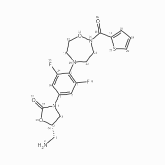 NC[C@H]1CN(c2cc(F)c(N3CCON(C(=O)c4cccs4)CC3)c(F)c2)C(=O)O1